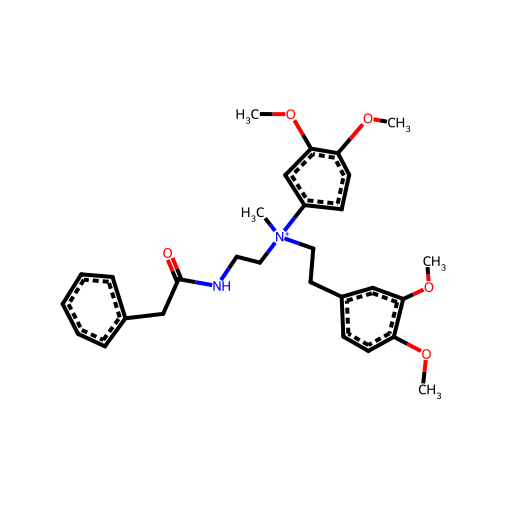 COc1ccc(CC[N+](C)(CCNC(=O)Cc2ccccc2)c2ccc(OC)c(OC)c2)cc1OC